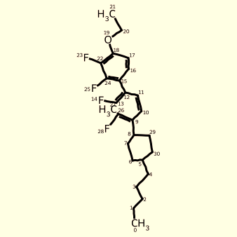 CCCCCC1CCC(C(/C=C\C(=C\F)c2ccc(OCC)c(F)c2F)=C(/C)F)CC1